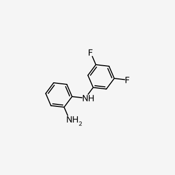 Nc1ccccc1Nc1cc(F)cc(F)c1